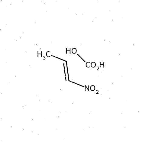 CC=C[N+](=O)[O-].O=C(O)O